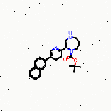 CC(C)(C)OC(=O)N1CCCNCC1C1=NC=C(c2ccc3ccccc3c2)CC1